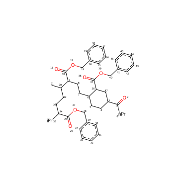 CCCC(=O)C1CCC(CCC(C(=O)OCc2ccccc2)C(C)CCC(C(=O)OCc2ccccc2)C(C)C)C(C(=O)OCc2ccccc2)C1